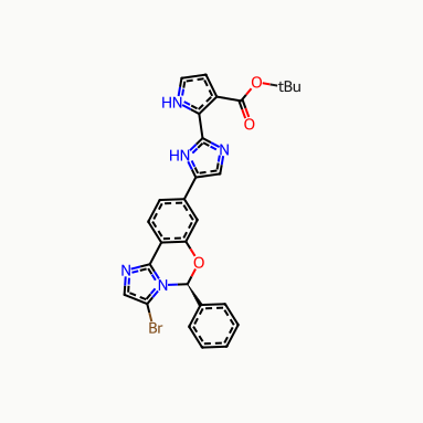 CC(C)(C)OC(=O)c1cc[nH]c1-c1ncc(-c2ccc3c(c2)O[C@@H](c2ccccc2)n2c(Br)cnc2-3)[nH]1